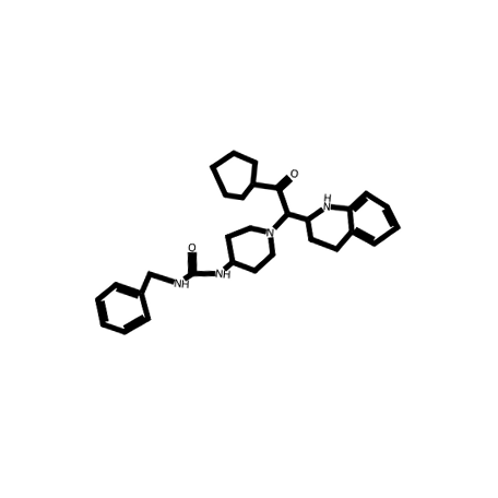 O=C(NCc1ccccc1)NC1CCN(C(C(=O)C2CCCCC2)C2CCc3ccccc3N2)CC1